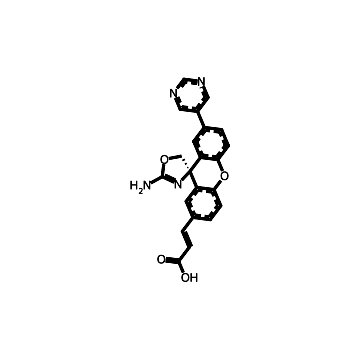 NC1=N[C@]2(CO1)c1cc(/C=C/C(=O)O)ccc1Oc1ccc(-c3cncnc3)cc12